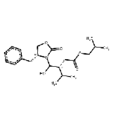 CC(C)COC(=O)C[C@H](C(C)C)C(O)N1C(=O)OC[C@H]1Cc1ccccc1